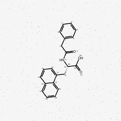 O=C(Cc1ccccc1)N[C@@H](Cc1cccc2ccccc12)C(=O)O